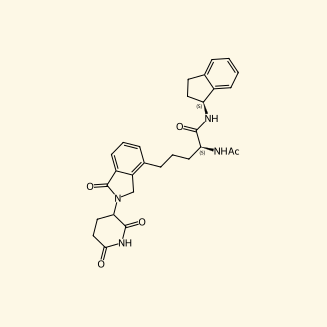 CC(=O)N[C@@H](CCCc1cccc2c1CN(C1CCC(=O)NC1=O)C2=O)C(=O)N[C@H]1CCc2ccccc21